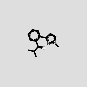 CC(C)C(=O)c1ccccc1-c1ccn(C)n1